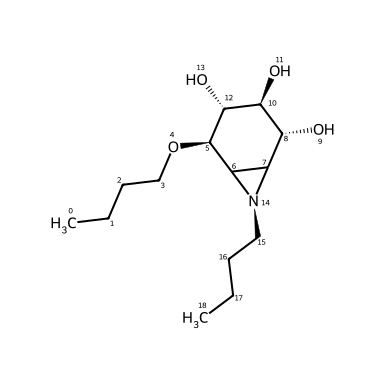 CCCCO[C@@H]1C2C([C@@H](O)[C@H](O)[C@H]1O)[N@@]2CCCC